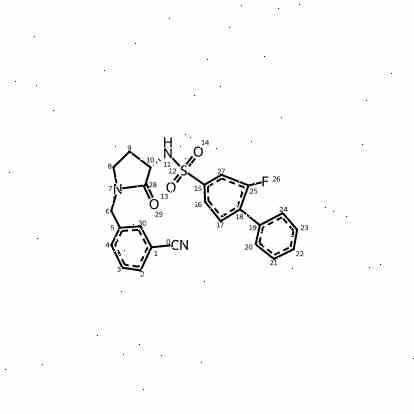 N#Cc1cccc(CN2CC[C@H](NS(=O)(=O)c3ccc(-c4ccccc4)c(F)c3)C2=O)c1